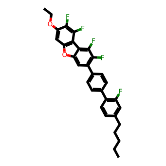 CCCCCc1ccc(-c2ccc(-c3cc4oc5cc(OCC)c(F)c(F)c5c4c(F)c3F)cc2)c(F)c1